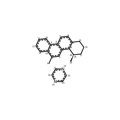 Cc1cc2c3c(ccc2c2ccccc12)CCC[C@H]3C.c1cnccn1